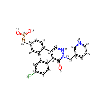 O=c1c(-c2ccc(F)cc2)c(-c2ccc(C[SH](=O)=O)cc2)cnn1Cc1cccnc1